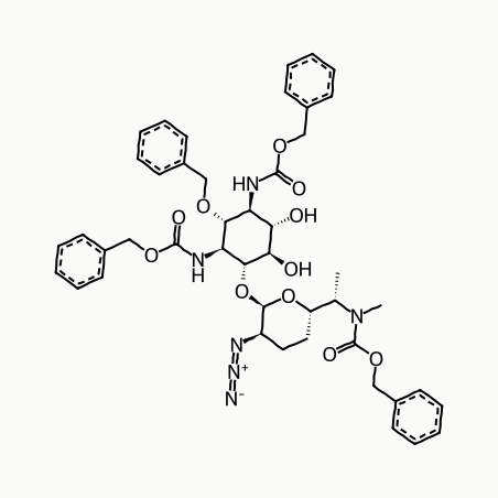 C[C@@H]([C@@H]1CC[C@@H](N=[N+]=[N-])[C@@H](O[C@H]2[C@H](O)[C@@H](O)[C@H](NC(=O)OCc3ccccc3)[C@@H](OCc3ccccc3)[C@@H]2NC(=O)OCc2ccccc2)O1)N(C)C(=O)OCc1ccccc1